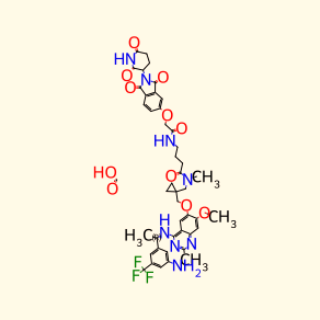 COc1cc2nc(C)nc(N[C@H](C)c3cc(N)cc(C(F)(F)F)c3)c2cc1OCC1(CN(C)C(=O)CCCNC(=O)COc2ccc3c(c2)C(=O)N(C2CCC(=O)NC2=O)C3=O)CC1.O=CO